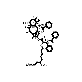 CSCCC(CCCCC(=O)O[C@@H](C(=O)O[C@H]1C[C@@]2(O)[C@@H](OC(=O)c3ccccc3)[C@@H]3[C@]4(OC(C)=O)CO[C@@H]4C[C@H](O)[C@@]3(C)C(=O)[C@H](C)C(=C1C)C2(C)C)[C@@H](NC(=O)c1ccccc1)c1ccccc1)SC